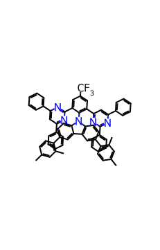 Cc1ccc(-c2ccc3c(c2)c2cc(-c4ccc(C)cc4C)ccc2n3-c2c(-c3cc(-c4ccccc4)nc(-c4ccccc4)n3)cc(C(F)(F)F)cc2-c2nc(-c3ccccc3)cc(-c3ccccc3)n2)c(C)c1